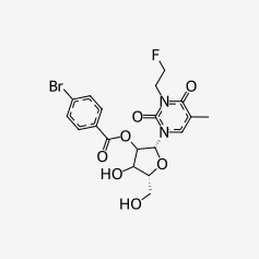 Cc1cn([C@@H]2O[C@H](CO)C(O)C2OC(=O)c2ccc(Br)cc2)c(=O)n(CCF)c1=O